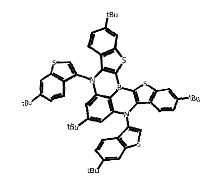 CC(C)(C)c1cc2c3c(c1)N(c1csc4cc(C(C)(C)C)ccc14)c1c(sc4cc(C(C)(C)C)ccc14)B3c1sc3cc(C(C)(C)C)ccc3c1N2c1csc2cc(C(C)(C)C)ccc12